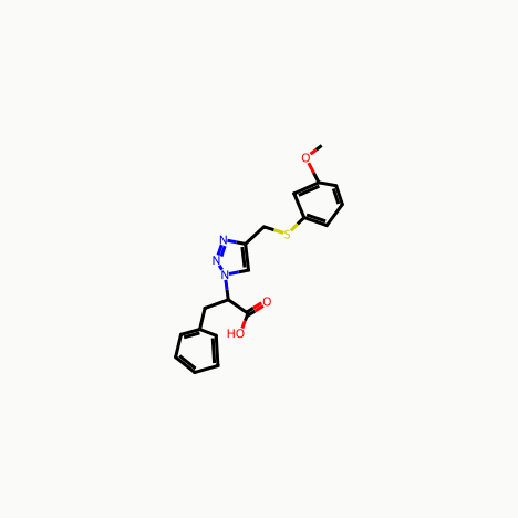 COc1cccc(SCc2cn(C(Cc3ccccc3)C(=O)O)nn2)c1